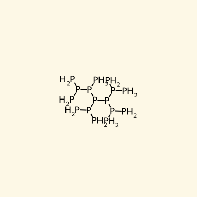 PP(P)P(P)P(P(P)P)P(P(P)P)P(P)P